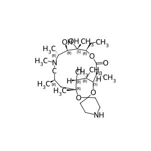 CC[C@H]1OC(=O)[C@H](C)[C@H]2OC3(CCNCC3)O[C@](C)(C[C@@H](C)CN(C)[C@H](C)[C@@H](O)[C@]1(C)O)[C@H](C)[C@H]2C